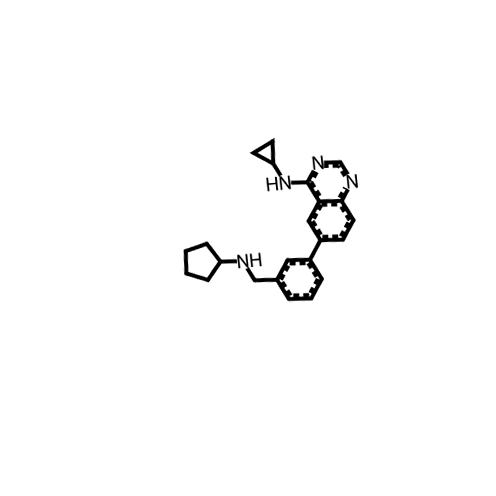 c1cc(CNC2CCCC2)cc(-c2ccc3ncnc(NC4CC4)c3c2)c1